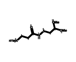 CCCCCCCCCC(=O)NSCC(OC)OC